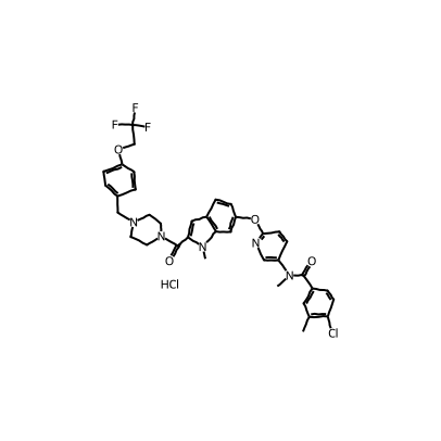 Cc1cc(C(=O)N(C)c2ccc(Oc3ccc4cc(C(=O)N5CCN(Cc6ccc(OCC(F)(F)F)cc6)CC5)n(C)c4c3)nc2)ccc1Cl.Cl